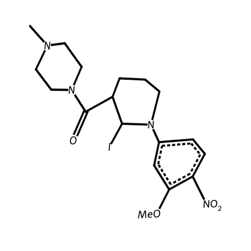 COc1cc(N2CCCC(C(=O)N3CCN(C)CC3)C2I)ccc1[N+](=O)[O-]